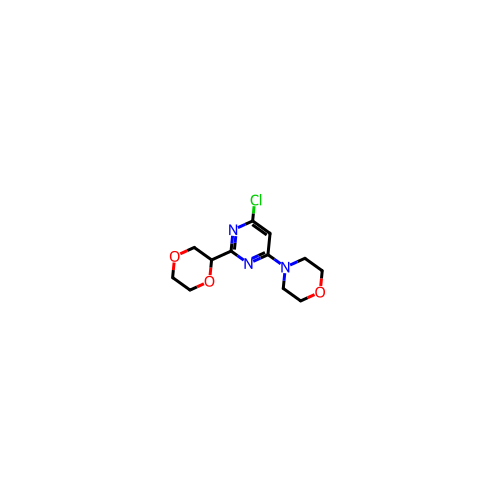 Clc1cc(N2CCOCC2)nc(C2COCCO2)n1